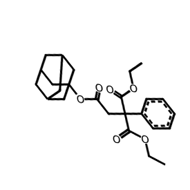 CCOC(=O)C(CC(=O)OC12CC3CC(CC(C3)C1)C2)(C(=O)OCC)c1ccccc1